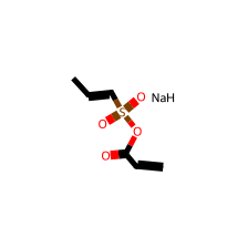 C=CC(=O)OS(=O)(=O)C=CC.[NaH]